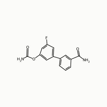 NC(=O)Oc1cc(F)cc(-c2cccc(C(N)=O)c2)c1